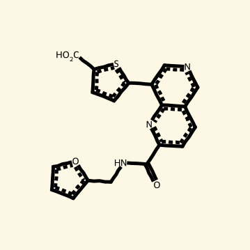 O=C(NCc1ccco1)c1ccc2cncc(-c3ccc(C(=O)O)s3)c2n1